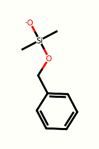 C[Si](C)([O])OCc1ccccc1